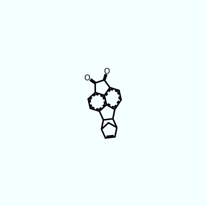 O=C1C(=O)c2ccc3c4c(ccc1c24)C1C2C=CC(C2)C31